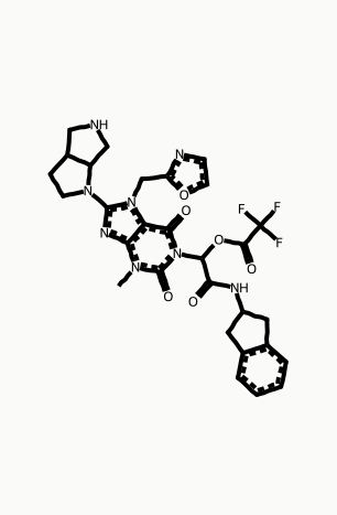 Cn1c(=O)n(C(OC(=O)C(F)(F)F)C(=O)NC2Cc3ccccc3C2)c(=O)c2c1nc(N1CCC3CNCC31)n2Cc1ncco1